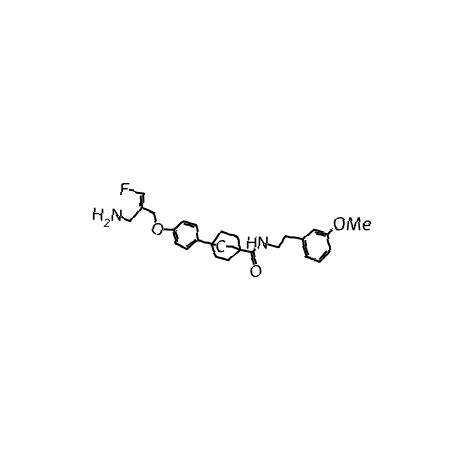 COc1cccc(CCNC(=O)C23CCC(c4ccc(OC/C(=C/F)CN)cc4)(CC2)CC3)c1